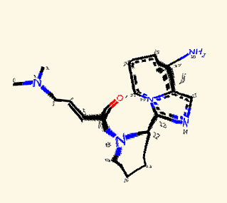 CN(C)CC=CC(=O)N1CCCC1c1ncc2c(N)cccn12